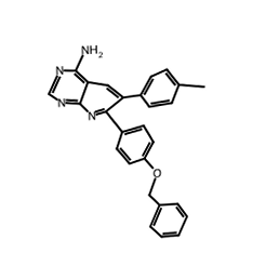 Cc1ccc(-c2cc3c(N)ncnc3nc2-c2ccc(OCc3ccccc3)cc2)cc1